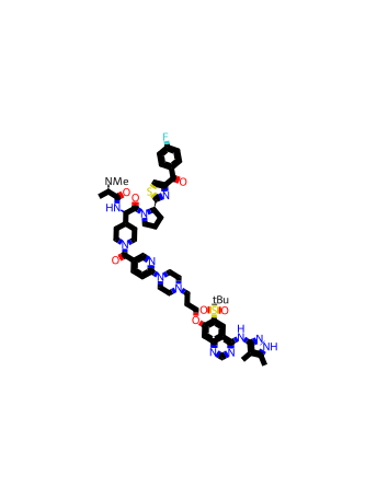 CN[C@@H](C)C(=O)N[C@H](C(=O)N1CCC[C@H]1c1nc(C(=O)c2ccc(F)cc2)cs1)C1CCN(C(=O)c2ccc(N3CCN(CCCOc4cc5ncnc(Nc6n[nH]c(C)c6C)c5cc4S(=O)(=O)C(C)(C)C)CC3)nc2)CC1